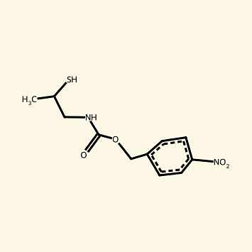 CC(S)CNC(=O)OCc1ccc([N+](=O)[O-])cc1